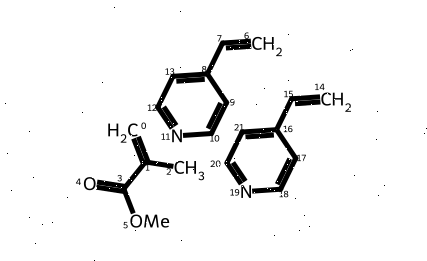 C=C(C)C(=O)OC.C=Cc1ccncc1.C=Cc1ccncc1